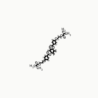 C=C(C)C(=O)OCCCOc1ccc(C(=O)Oc2c(F)c(F)c(OC(=O)c3ccc(OCCCOC(=O)C(=C)C)cc3)c(F)c2F)cc1